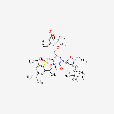 CC[C@H]1O[C@@H](n2cc(CO[C@H](c3ccccc3[N+](=O)[O-])C(C)(C)C)c(OS(=O)(=O)c3c(C(C)C)cc(C(C)C)cc3C(C)C)nc2=O)C[C@H]1O[Si](C)(C)C(C)(C)C